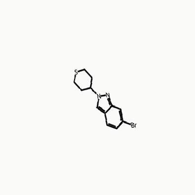 Brc1ccc2cn(C3CCSCC3)nc2c1